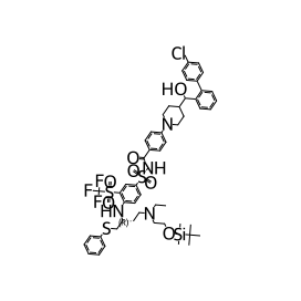 CCN(CCO[Si](C)(C)C(C)(C)C)CC[C@H](CSc1ccccc1)Nc1ccc(S(=O)(=O)NC(=O)c2ccc(N3CCC(C(O)c4ccccc4-c4ccc(Cl)cc4)CC3)cc2)cc1S(=O)(=O)C(F)(F)F